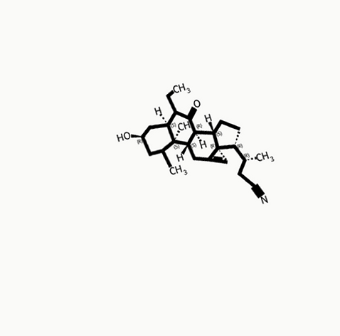 CCC1C(=O)[C@H]2[C@@H]3CC[C@H]([C@H](C)CC#N)[C@]34C=C4C[C@@H]2[C@@]2(C)C(C)C[C@@H](O)C[C@@H]12